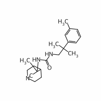 Cc1cccc(C(C)(C)CNC(=O)NC2(C)CN3CCC2CC3)c1